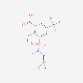 CCc1c(C(=O)O)cc(C(F)(F)F)cc1S(=O)(=O)N(C)C[C@H]1CO1